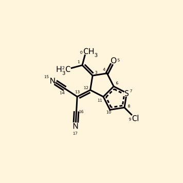 CC(C)=C1C(=O)c2sc(Cl)cc2C1=C(C#N)C#N